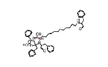 O=CC(Cc1ccccc1)NCCCCCCCCCCCCCC[C@@H](Cc1ccccc1)C(Cc1ccccc1)(NC(=O)O)N(NC(=O)O)[C@H](C=O)Cc1ccccc1